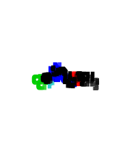 CC(C)(C)OC(=O)N1CCC12CN(c1ccc3ncnc(Nc4ccc(Cl)c(Cl)c4F)c3n1)C2